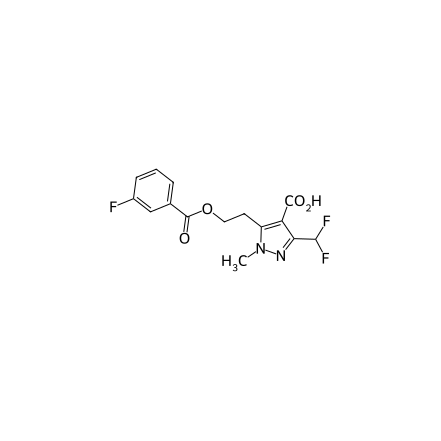 Cn1nc(C(F)F)c(C(=O)O)c1CCOC(=O)c1cccc(F)c1